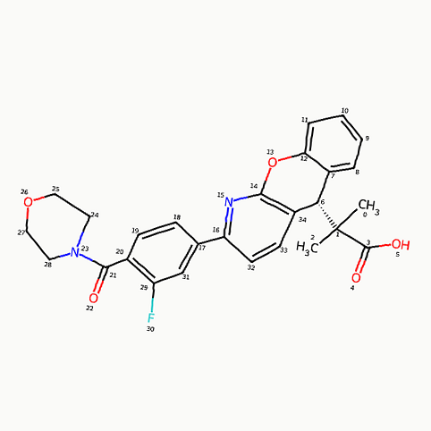 CC(C)(C(=O)O)[C@H]1c2ccccc2Oc2nc(-c3ccc(C(=O)N4CCOCC4)c(F)c3)ccc21